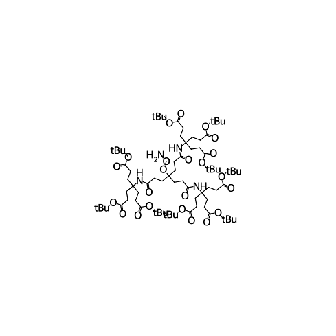 CC(C)(C)OC(=O)CCC(CCC(=O)OC(C)(C)C)(CCC(=O)OC(C)(C)C)NC(=O)CCC(CCC(=O)NC(CCC(=O)OC(C)(C)C)(CCC(=O)OC(C)(C)C)CCC(=O)OC(C)(C)C)(CCC(=O)NC(CCC(=O)OC(C)(C)C)(CCC(=O)OC(C)(C)C)CCC(=O)OC(C)(C)C)OON